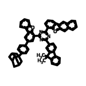 CC1(C)c2ccccc2-c2ccc(-c3nc(-c4cccc5c4oc4cc6ccccc6cc45)nc(-c4cc(-c5ccc(C67CC8CC(CC(C8)C6)C7)cc5)cc5c4oc4ccccc45)n3)cc21